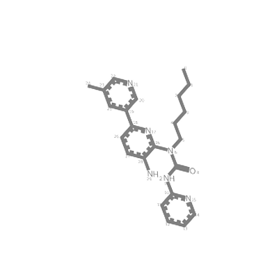 CCCCCCN(C(=O)Nc1ccccn1)c1nc(-c2cncc(C)c2)ccc1N